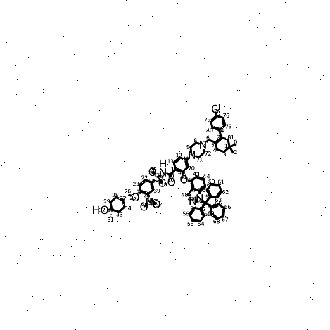 CC1(C)CCC(CN2CCN(c3ccc(C(=O)NS(=O)(=O)c4ccc(OC[C@H]5CC[C@](C)(O)CC5)c([N+](=O)[O-])c4)c(Oc4cccc5c4cnn5C(c4ccccc4)(c4ccccc4)c4ccccc4)c3)CC2)=C(c2ccc(Cl)cc2)C1